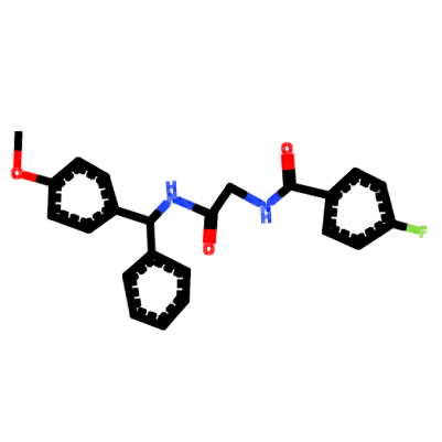 COc1ccc(C(NC(=O)CNC(=O)c2ccc(F)cc2)c2ccccc2)cc1